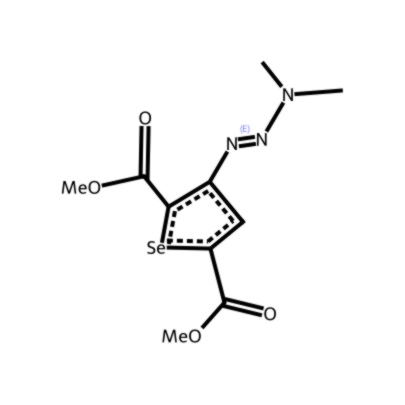 COC(=O)c1cc(/N=N/N(C)C)c(C(=O)OC)[se]1